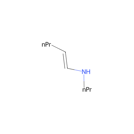 [CH2]CCC=CNCCC